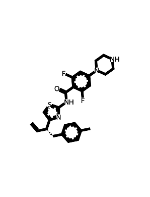 C=C[C@@H](Cc1ccc(C)cc1)c1csc(NC(=O)c2c(F)cc(N3CCNCC3)cc2F)n1